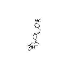 [C-]#[N+]c1ccc(Oc2cccc(N3CCCC3CC(=C)O)c2)cc1